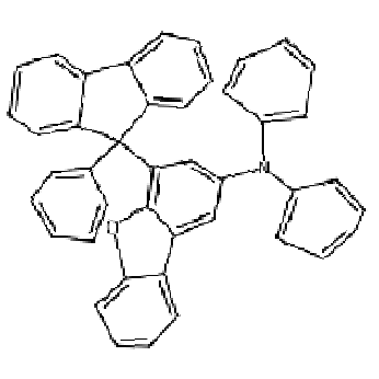 c1ccc(N(c2ccccc2)c2cc(C3(c4ccccc4)c4ccccc4-c4ccccc43)c3oc4ccccc4c3c2)cc1